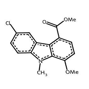 COC(=O)c1ccc(OC)c2c1c1cc(Cl)ccc1n2C